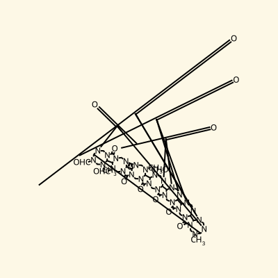 CN1CN2C(=O)N3CN4C(=O)N5CN6C(=O)N7CN8C(=O)N9CN%10C(=O)N%11CN(C=O)C%12C%13N(C)CN(C=O)C%14C1N1CN%15C(=O)N(CN%16C(=O)N(CN%17C(=O)N(CN(C=O)C8C9N(C)CN8C(=O)N(CN%12C(=O)N%13CN%14C1=O)C%11C8%10)C7C%176)C5C4%16)C3C2%15